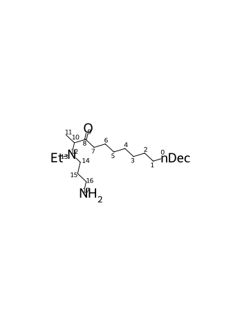 CCCCCCCCCCCCCCCCCC(=O)C(C)N(CC)CCCN